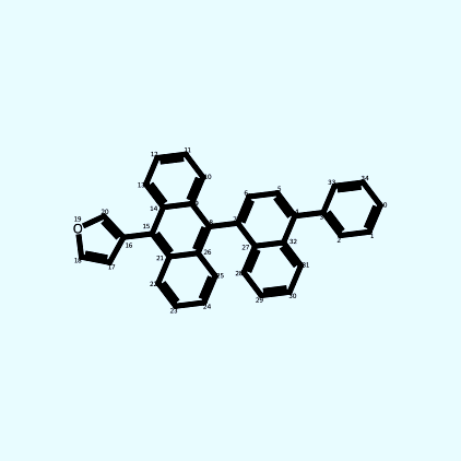 c1ccc(-c2ccc(-c3c4ccccc4c(-c4ccoc4)c4ccccc34)c3ccccc23)cc1